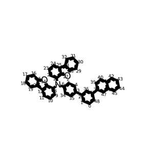 c1cc(-c2ccc(N(c3cccc4c3oc3ccccc34)c3cccc4c3oc3ccccc34)cc2)cc(-c2ccc3ccccc3c2)c1